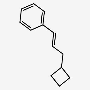 C(=Cc1ccccc1)CC1CCC1